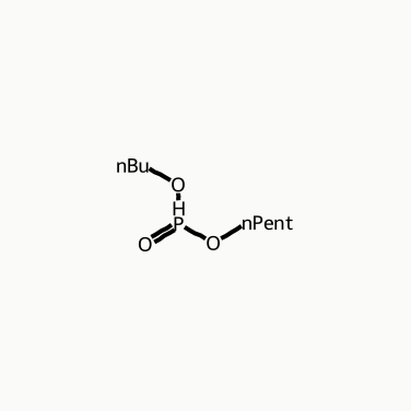 CCCCCO[PH](=O)OCCCC